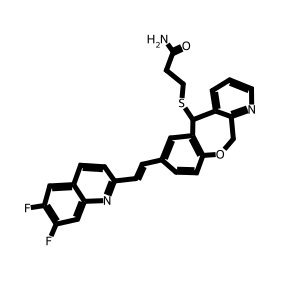 NC(=O)CCSC1c2cc(/C=C/c3ccc4cc(F)c(F)cc4n3)ccc2OCc2ncccc21